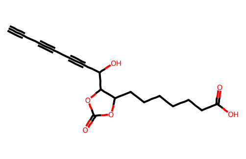 C#CC#CC#CC(O)C1OC(=O)OC1CCCCCCC(=O)O